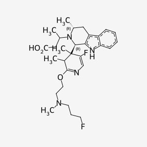 CC(CC(=O)O)N1[C@H](C)Cc2c([nH]c3ccccc23)[C@H]1C1(C)C(F)=CN=C(OCCN(C)CCCF)C1C